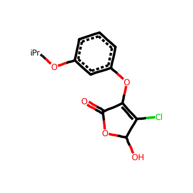 CC(C)Oc1cccc(OC2=C(Cl)C(O)OC2=O)c1